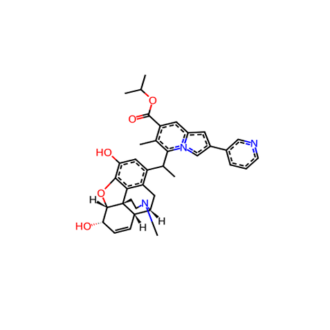 Cc1c(C(=O)OC(C)C)cc2cc(-c3cccnc3)cn2c1C(C)c1cc(O)c2c3c1C[C@@H]1[C@@H]4C=C[C@H](O)[C@H](O2)[C@]34CCN1C